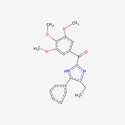 CCc1nc(C(=O)c2cc(OC)c(OC)c(OC)c2)[nH]c1-c1ccccc1